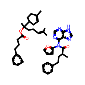 CC(C)=CCCC(C)(OC(=O)CCCc1ccccc1)C1CC=C(C)CC1.CC(CCc1ccccc1)C(=O)N(c1ccco1)c1ncnc2[nH]cnc12